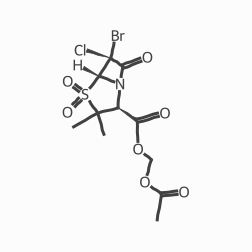 CC(=O)OCOC(=O)[C@@H]1N2C(=O)[C@@](Cl)(Br)[C@H]2S(=O)(=O)C1(C)C